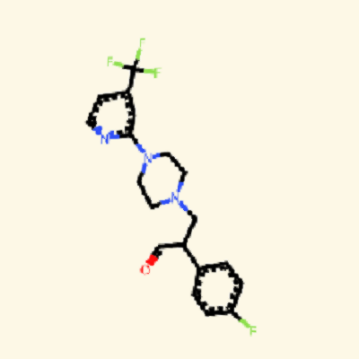 O=CC(CN1CCN(c2cc(C(F)(F)F)ccn2)CC1)c1ccc(F)cc1